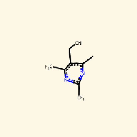 Cc1nc(C(F)(F)F)nc(C(F)(F)F)c1CC#N